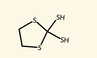 SC1(S)SCCS1